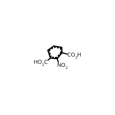 O=C(O)c1cccc(C(=O)O)c1[N+](=O)[O-]